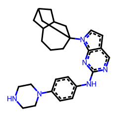 c1cc(N2CCNCC2)ccc1Nc1ncc2ccn(C34CCCC5CC(CC5C3)C4)c2n1